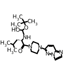 CC(C)C[C@H](NC(O)OC(C)(C)C)C(=O)N1CCN(c2ccc3nccn3n2)CC1